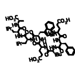 CC[C@H](C)[C@H](NC(=O)[C@H](Cc1ccccc1)NC(=O)[C@@H](N)CCC(=O)O)C(=O)N[C@@H](CCC(=O)O)C(=O)N[C@@H](Cc1c[nH]c2ccccc12)C(=O)N[C@@H](CC(C)C)C(=O)N[C@@H](CC(C)C)C(=O)N[C@@H](C)C(=O)O